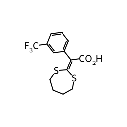 O=C(O)C(=C1SCCCCS1)c1cccc(C(F)(F)F)c1